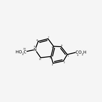 O=C(O)c1ccc2c(c1)C=CN(C(=O)O)C2